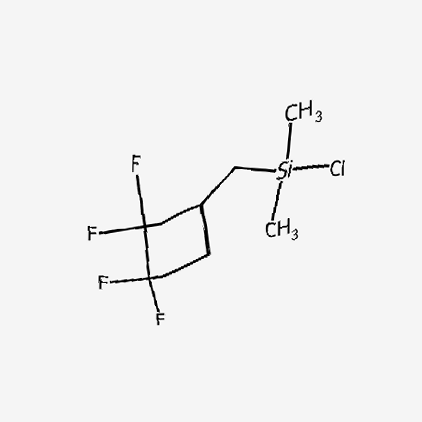 C[Si](C)(Cl)CC1CC(F)(F)C1(F)F